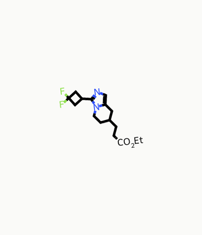 CCOC(=O)CCC1CCn2c(cnc2C2CC(F)(F)C2)C1